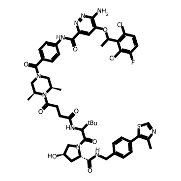 Cc1ncsc1-c1ccc(CNC(=O)[C@@H]2C[C@@H](O)CN2C(=O)C(NC(=O)CCC(=O)N2[C@H](C)CN(C(=O)c3ccc(NC(=O)c4cc(OC(C)c5c(Cl)ccc(F)c5Cl)c(N)nn4)cc3)C[C@@H]2C)C(C)(C)C)cc1